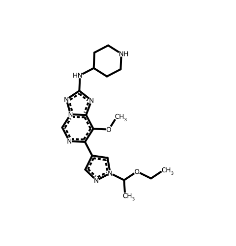 CCOC(C)n1cc(-c2ncn3nc(NC4CCNCC4)nc3c2OC)cn1